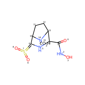 O=C(NO)C1NC(=S(=O)=O)C2CCC1N2C(=O)O